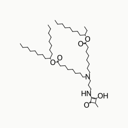 CCCCCCCCC(CC)OC(=O)CCCCCCCN(CCCCCCCC(=O)OC(CCCCCCCC)CCCCCCCC)CCCNC1=C(O)C(C)C1=O